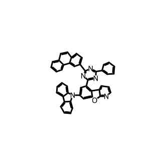 c1ccc(-c2nc(-c3ccc4ccc5ccccc5c4c3)nc(-c3cc(-n4c5ccccc5c5ccccc54)cc4oc5ncccc5c34)n2)cc1